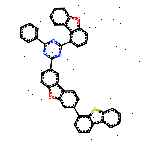 c1ccc(-c2nc(-c3ccc4oc5cc(-c6cccc7c6sc6ccccc67)ccc5c4c3)nc(-c3cccc4oc5ccccc5c34)n2)cc1